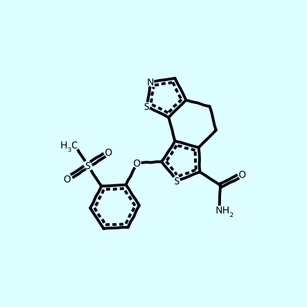 CS(=O)(=O)c1ccccc1Oc1sc(C(N)=O)c2c1-c1sncc1CC2